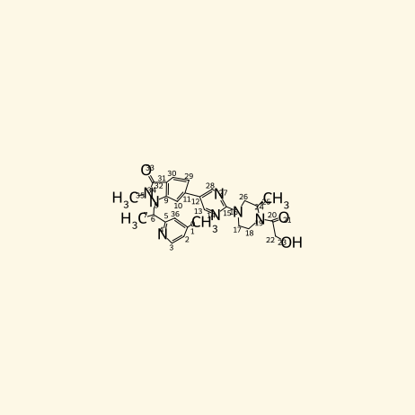 Cc1ccnc(C(C)n2c3cc(-c4cnc(N5CCN(C(=O)CO)[C@H](C)C5)nc4)ccc3c(=O)n2C)c1